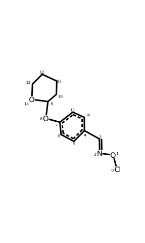 ClON=Cc1ccc(OC2CCCCO2)cc1